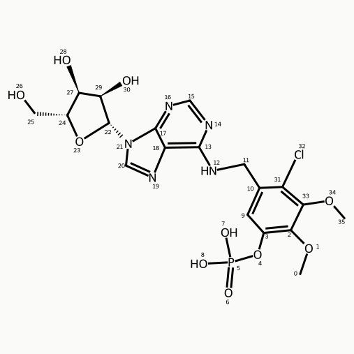 COc1c(OP(=O)(O)O)cc(CNc2ncnc3c2ncn3[C@@H]2O[C@H](CO)[C@@H](O)[C@H]2O)c(Cl)c1OC